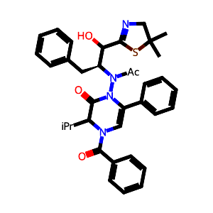 CC(=O)N([C@@H](Cc1ccccc1)C(O)C1=NCC(C)(C)S1)N1C(=O)C(C(C)C)N(C(=O)c2ccccc2)C=C1c1ccccc1